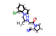 CC(Cn1ccc2cccc(Br)c21)NCC(=O)N1CCC[C@H]1C#N